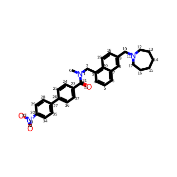 CN(Cc1cccc2cc(CN3CCCCCC3)ccc12)C(=O)c1ccc(-c2ccc([N+](=O)[O-])cc2)cc1